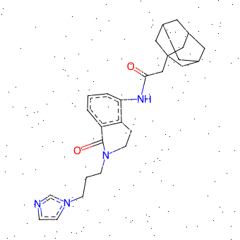 O=C(CC12CC3CC(CC(C3)C1)C2)Nc1cccc2c1CCN(CCCn1ccnc1)C2=O